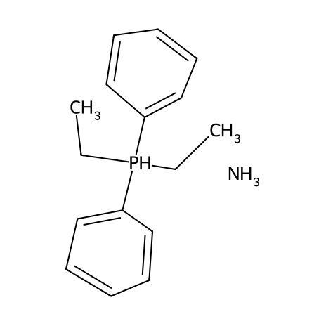 CC[PH](CC)(c1ccccc1)c1ccccc1.N